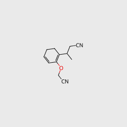 CC(CC#N)C1=C(OCC#N)C=CCC1